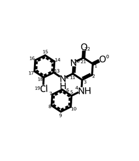 O=C1C=C(Nc2ccccc2)C(Nc2ccccc2Cl)=NC1=O